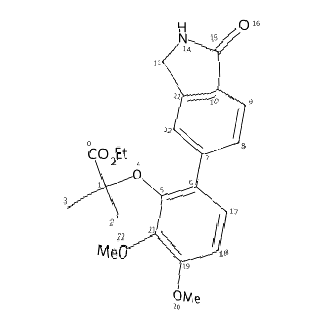 CCOC(=O)C(C)(C)Oc1c(-c2ccc3c(c2)CNC3=O)ccc(OC)c1OC